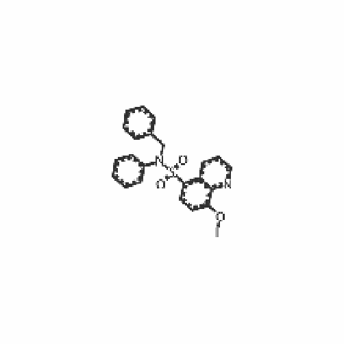 O=S(=O)(c1ccc(OI)c2ncccc12)N(Cc1ccccc1)c1ccccc1